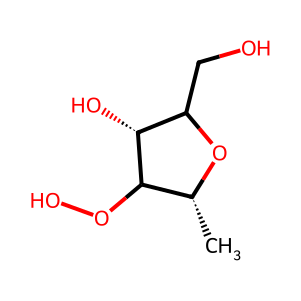 C[C@H]1OC(CO)[C@@H](O)C1OO